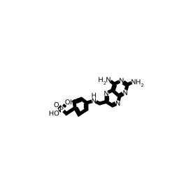 Nc1nc(N)c2nc(CNc3ccc(CP(=O)(O)O)cc3)cnc2n1